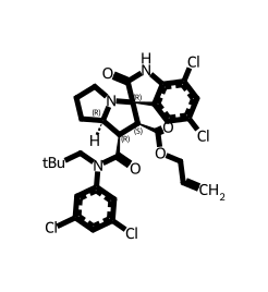 C=CCOC(=O)[C@H]1[C@@H](C(=O)N(CC(C)(C)C)c2cc(Cl)cc(Cl)c2)[C@H]2CCCN2[C@]12C(=O)Nc1c(Cl)cc(Cl)cc12